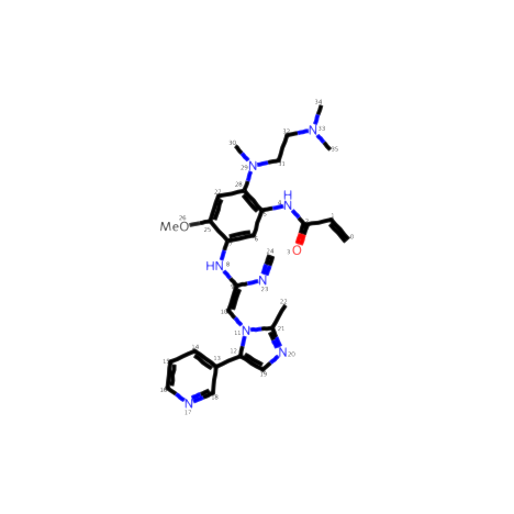 C=CC(=O)Nc1cc(N/C(=C/n2c(-c3cccnc3)cnc2C)N=C)c(OC)cc1N(C)CCN(C)C